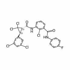 O=C(Nc1ccc(F)cc1)c1cccc(NC(=O)[C@@H]2[C@@H](c3cc(Cl)cc(Cl)c3)C2(Cl)Cl)c1Cl